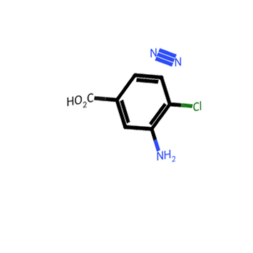 N#N.Nc1cc(C(=O)O)ccc1Cl